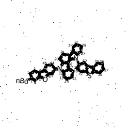 CCCCc1ccc2c(c1)oc1cc(-n3c4ccccc4c4c3ccc3c5ccccc5n(-c5ccc6sc7ccccc7c6c5)c34)ccc12